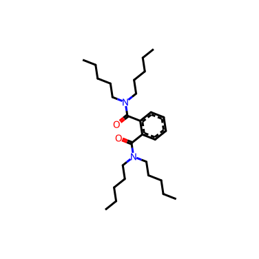 CCCCCN(CCCCC)C(=O)c1ccccc1C(=O)N(CCCCC)CCCCC